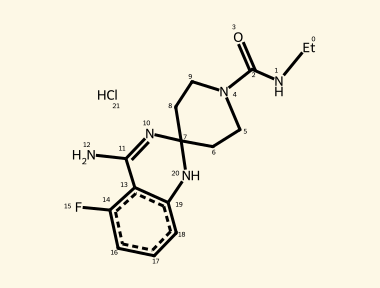 CCNC(=O)N1CCC2(CC1)N=C(N)c1c(F)cccc1N2.Cl